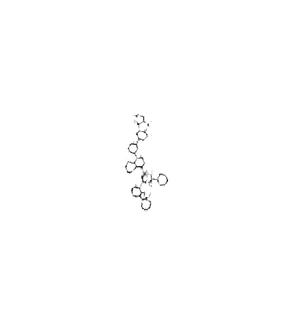 CC1(C)c2ccccc2-c2cc(-c3cccc(-c4ccc(-c5cc(-c6cccc7c6oc6ccccc67)nc(-c6ccccc6)n5)c5ccccc45)c3)ccc21